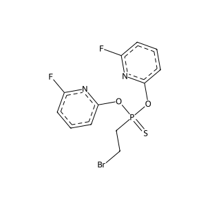 Fc1cccc(OP(=S)(CCBr)Oc2cccc(F)n2)n1